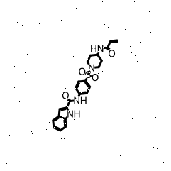 C=CC(=O)NC1CCN(S(=O)(=O)c2ccc(NC(=O)c3cc4ccccc4[nH]3)cc2)CC1